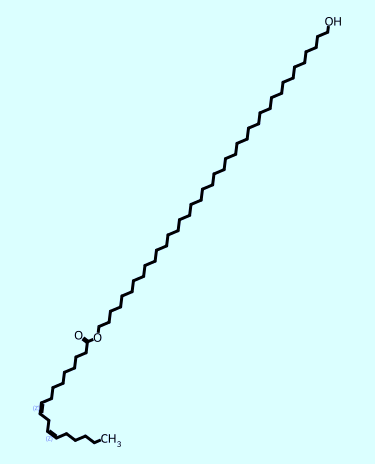 CCCCC/C=C\C/C=C\CCCCCCCC(=O)OCCCCCCCCCCCCCCCCCCCCCCCCCCCCCCCCCCCCCCCCO